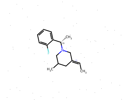 C/C=C1\CC(C)CN([C@@H](C)c2ccccc2F)C1